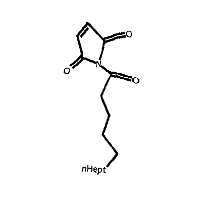 CCCCCCCCCCCC(=O)N1C(=O)C=CC1=O